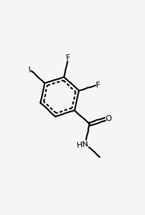 CNC(=O)c1ccc(I)c(F)c1F